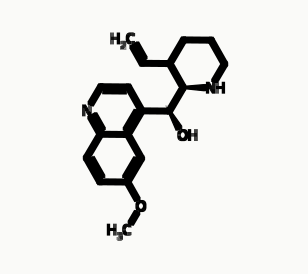 C=CC1CCCN[C@H]1[C@@H](O)c1ccnc2ccc(OC)cc12